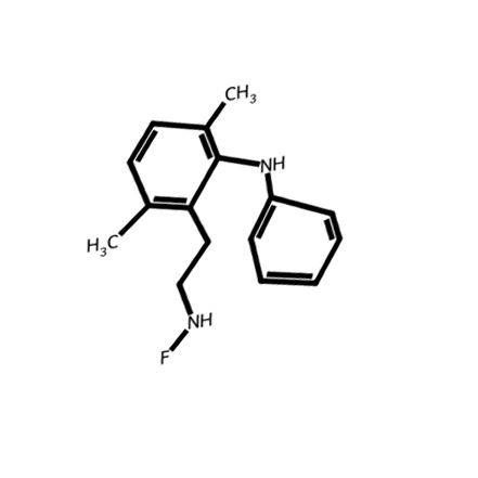 Cc1ccc(C)c(Nc2ccccc2)c1CCNF